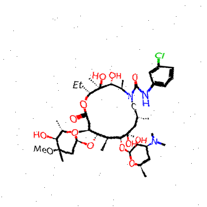 CC[C@H]1OC(=O)[C@H](C)[C@@H](O[C@H]2C[C@@](C)(OC)[C@@H](O)[C@H](C)O2)[C@H](C)[C@@H](O[C@@H]2O[C@H](C)C[C@H](N(C)C)[C@H]2O)[C@](C)(O)C[C@@H](C)CN(C(=O)Nc2cccc(Cl)c2)[C@H](C)[C@@H](O)[C@]1(C)O